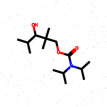 CC(C)C(O)C(C)(C)COC(=O)N(C(C)C)C(C)C